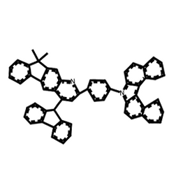 CC1(C)c2ccccc2-c2cc3c(C4c5ccccc5-c5ccccc54)cc(-c4ccc(-n5c6ccc7ccccc7c6c6c7ccccc7ccc65)cc4)nc3cc21